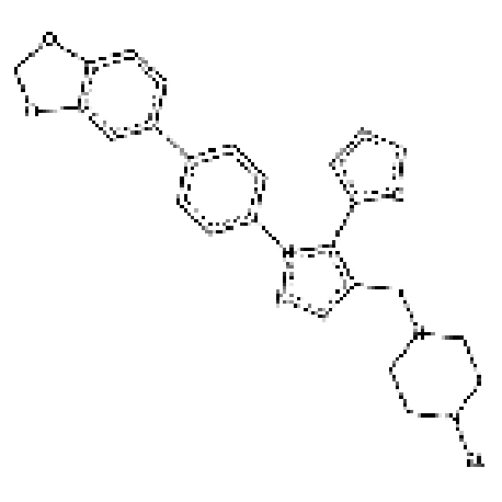 CCN1CCN(Cc2cnn(-c3ccc(-c4ccc5c(c4)OCO5)cc3)c2-c2ccco2)CC1